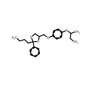 CCCCC1(c2ccccc2)OCC(COc2ccc(OC(C)CC)cc2)O1